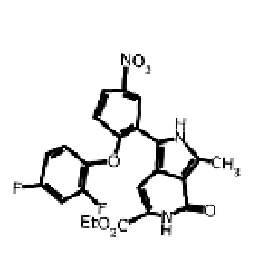 CCOC(=O)c1cc2c(-c3cc([N+](=O)[O-])ccc3Oc3ccc(F)cc3F)[nH]c(C)c2c(=O)[nH]1